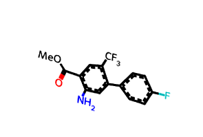 COC(=O)c1cc(C(F)(F)F)c(-c2ccc(F)cc2)cc1N